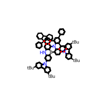 CC(C)(C)c1ccc2c(c1)c1cc(C(C)(C)C)ccc1n2-c1ccc2c(c1)Nc1cc(C3(c4ccccc4)C4=C(CCC=C4)C4CCC=CC43)cc3c1B2c1ccc(-n2c4ccc(C(C)(C)C)cc4c4cc(C(C)(C)C)ccc42)cc1N3c1c(-c2ccccc2)cc(-c2ccccc2)cc1-c1ccccc1